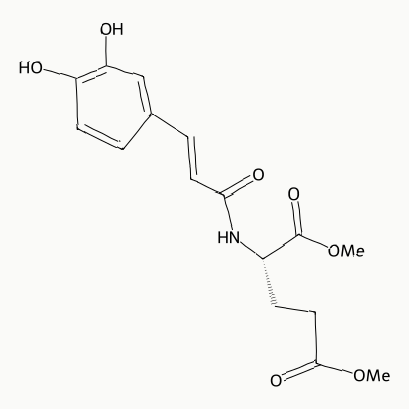 COC(=O)CC[C@H](NC(=O)/C=C/c1ccc(O)c(O)c1)C(=O)OC